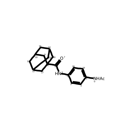 CC(=O)Nc1ccc(NC(=O)C23CC4CC(CC(C4)C2)C3)cc1